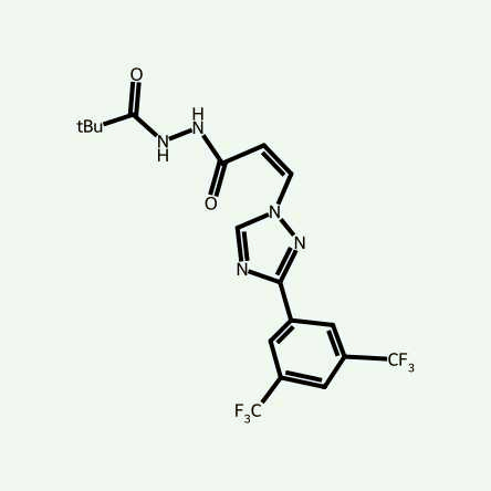 CC(C)(C)C(=O)NNC(=O)/C=C\n1cnc(-c2cc(C(F)(F)F)cc(C(F)(F)F)c2)n1